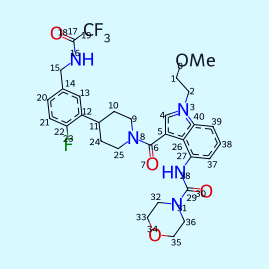 COCCn1cc(C(=O)N2CCC(c3cc(CNC(=O)C(F)(F)F)ccc3F)CC2)c2c(NC(=O)N3CCOCC3)cccc21